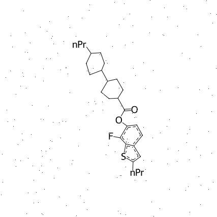 CCCc1cc2ccc(OC(=O)C3CCC(C4CCC(CCC)CC4)CC3)c(F)c2s1